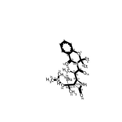 CCC1(CC)Oc2ccccc2C(=O)N1C(=O)[C@H](C)[C@H]1NC(=O)[C@@H]1[C@@](C)(O[SiH](C)C)C(C)(C)C